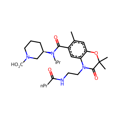 CCCC(=O)NCCN1C(=O)C(C)(C)Oc2cc(C)c(C(=O)N(C(C)C)[C@@H]3CCCN(C(=O)O)C3)cc21